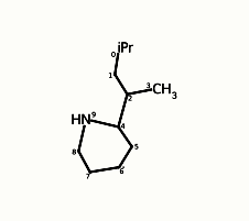 CC(C)CC(C)C1C[CH]CCN1